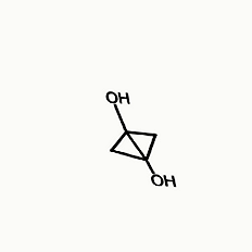 OC12CC1(O)C2